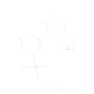 CC#CCC(C)(C#N)c1cccc(-c2ccnc3[nH]ncc23)c1